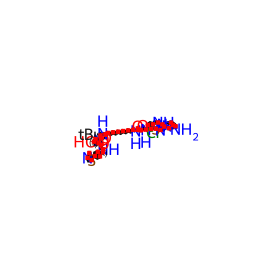 Cc1ncsc1-c1ccc([C@@H](C)NCC(=O)[C@H]2C[C@H](O)CN2C(=O)[C@H](NC(=O)CCCCCCCCCCCNC(=O)CC(=O)Nc2ccc3c(c2Cl)Sc2ncc(N4CCC(C)(CN)CC4)nc2NC3)C(C)(C)C)cc1